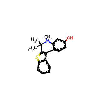 CN1c2cc(O)ccc2-c2c(sc3ccccc23)C1(C)C